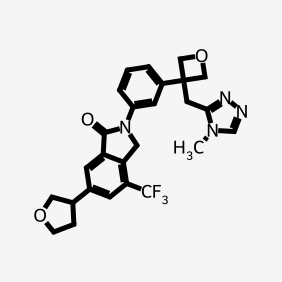 Cn1cnnc1CC1(c2cccc(N3Cc4c(cc(C5CCOC5)cc4C(F)(F)F)C3=O)c2)COC1